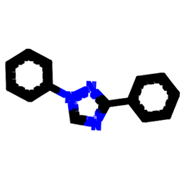 c1ccc(-c2ncn(-c3ccccc3)n2)cc1